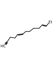 C#CCCC=CCCCCC=CCC